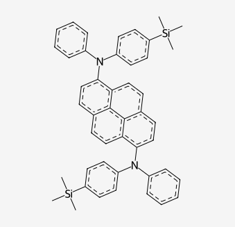 C[Si](C)(C)c1ccc(N(c2ccccc2)c2ccc3ccc4c(N(c5ccccc5)c5ccc([Si](C)(C)C)cc5)ccc5ccc2c3c54)cc1